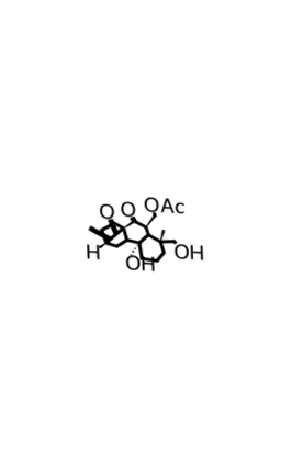 C=C1C(=O)[C@]23CC[C@H]1CC2[C@]1(CO)CCC[C@@](C)(CO)C1[C@H](COC(C)=O)C3=O